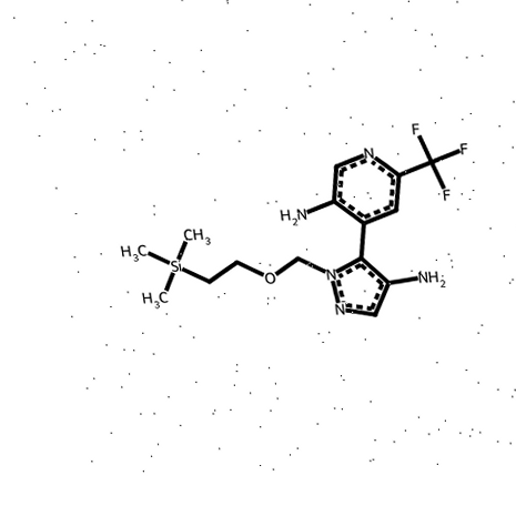 C[Si](C)(C)CCOCn1ncc(N)c1-c1cc(C(F)(F)F)ncc1N